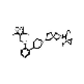 Cc1noc(C)c1COc1ccccc1C1CCN([C@H]2CCC3(C2)CN(C(=O)C2(F)CC2)C3)CC1